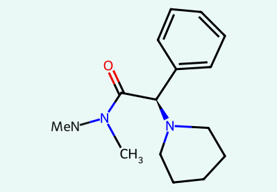 CNN(C)C(=O)[C@@H](c1ccccc1)N1CCCCC1